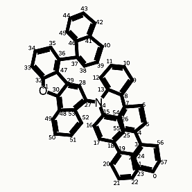 c1ccc(-c2ccc(-c3ccccc3N(c3ccc(-c4ccccc4)cc3)c3cc4c(oc5cccc(-c6cccc7ccccc67)c54)c4ccccc34)cc2)cc1